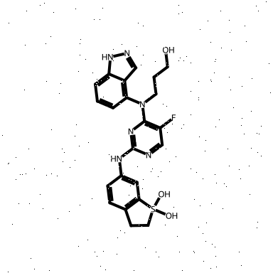 OCCCN(c1nc(Nc2ccc3c(c2)S(O)(O)CC3)ncc1F)c1cccc2[nH]ncc12